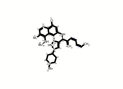 C=C(/C=C\C=C/C)[C@H](Nc1cc(Cl)c2ncc(C#N)c(N[C@H](C)CC)c2c1)C1=CN(C2CCN(C(C)(C)C)CC2)NN1